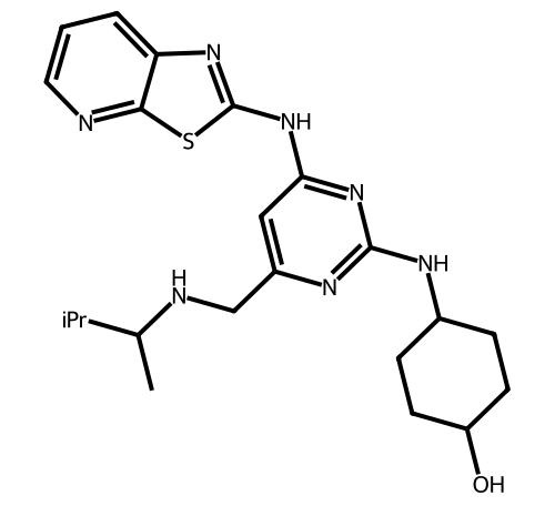 CC(C)C(C)NCc1cc(Nc2nc3cccnc3s2)nc(NC2CCC(O)CC2)n1